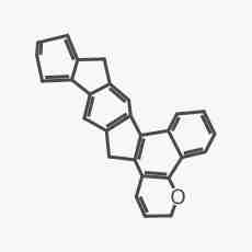 C1=Cc2c3c(c4ccccc4c2OC1)-c1cc2c(cc1C3)-c1ccccc1C2